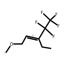 [CH2]OC/C=C(\CC)C(F)(F)C(F)(F)F